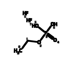 CCOP(=O)(O)O.F.F